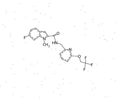 Cn1c(C(=O)NCc2cccc(OCC(F)(F)F)n2)cc2ccc(F)cc21